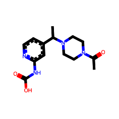 CC(=O)N1CCN(C(C)c2ccnc(NC(=O)O)c2)CC1